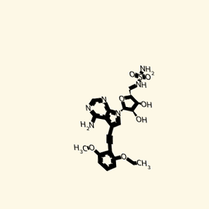 CCOc1cccc(OC)c1C#Cc1cn([C@@H]2O[C@H](CNS(N)(=O)=O)[C@@H](O)[C@H]2O)c2ncnc(N)c12